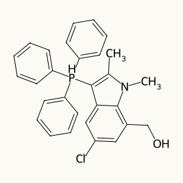 Cc1c([PH](c2ccccc2)(c2ccccc2)c2ccccc2)c2cc(Cl)cc(CO)c2n1C